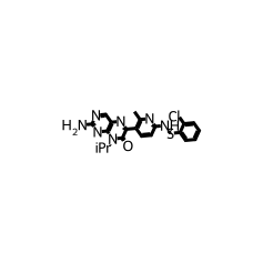 Cc1nc(NSc2ccccc2Cl)ccc1-c1nc2cnc(N)nc2n(C(C)C)c1=O